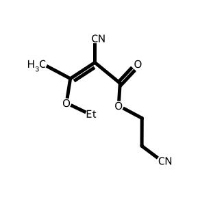 CCOC(C)=C(C#N)C(=O)OCCC#N